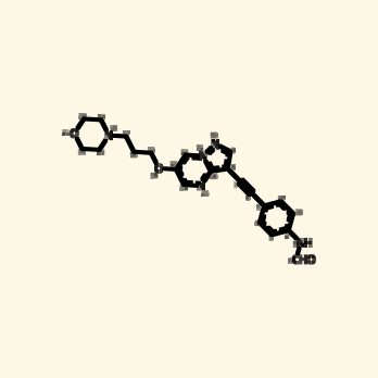 O=CNc1ccc(C#Cc2cnn3cc(OCCCN4CCOCC4)cnc23)cc1